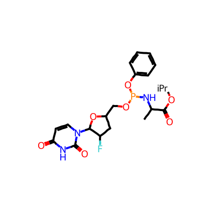 CC(C)OC(=O)C(C)NP(OCC1CC(F)C(n2ccc(=O)[nH]c2=O)O1)Oc1ccccc1